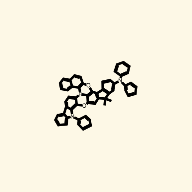 CC1(C)c2cc(N(c3ccccc3)c3ccccc3)ccc2-c2c1cc1c3c2Oc2ccc4ccccc4c2B3c2ccc3c4ccccc4n(-c4ccccc4)c3c2O1